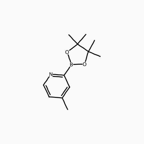 Cc1ccnc(B2OC(C)(C)C(C)(C)O2)c1